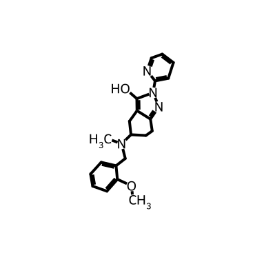 COc1ccccc1CN(C)C1CCc2nn(-c3ccccn3)c(O)c2C1